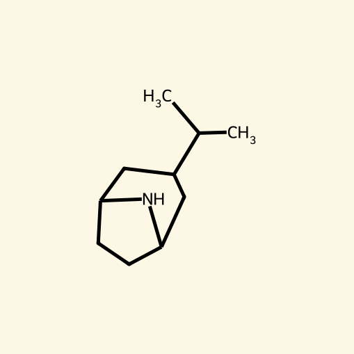 CC(C)C1CC2CCC(C1)N2